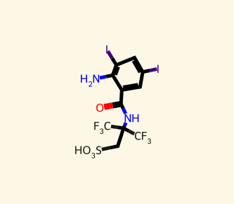 Nc1c(I)cc(I)cc1C(=O)NC(CS(=O)(=O)O)(C(F)(F)F)C(F)(F)F